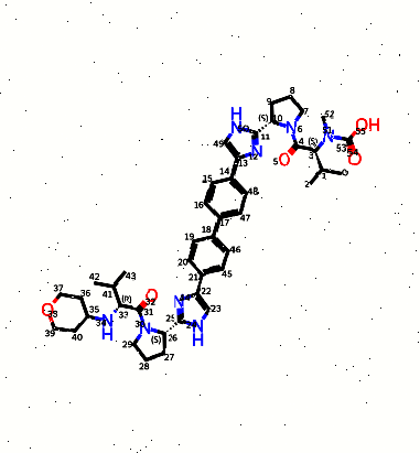 CC(C)[C@@H](C(=O)N1CCC[C@H]1c1nc(-c2ccc(-c3ccc(-c4c[nH]c([C@@H]5CCCN5C(=O)[C@H](NC5CCOCC5)C(C)C)n4)cc3)cc2)c[nH]1)N(C)C(=O)O